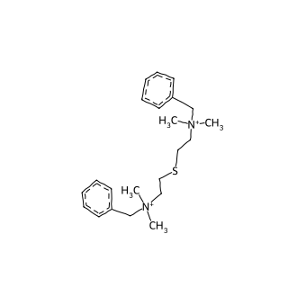 C[N+](C)(CCSCC[N+](C)(C)Cc1ccccc1)Cc1ccccc1